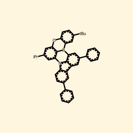 CC(C)c1cc2c3c(c1)-n1c4ccc(-c5ccccc5)cc4c4cc(-c5ccccc5)cc(c41)B3c1cc(C(C)(C)C)ccc1O2